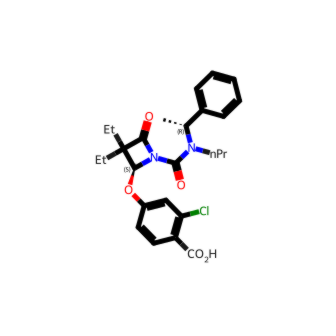 CCCN(C(=O)N1C(=O)C(CC)(CC)[C@@H]1Oc1ccc(C(=O)O)c(Cl)c1)[C@H](C)c1ccccc1